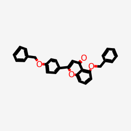 O=c1cc(-c2ccc(OCc3ccccc3)cc2)oc2cccc(OCc3ccccc3)c12